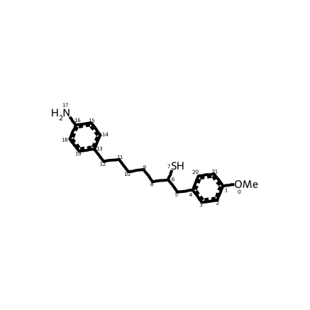 COc1ccc(CC(S)CCCCCc2ccc(N)cc2)cc1